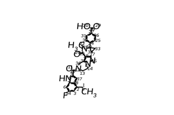 CCc1cc(F)cc2[nH]c(C(=O)N3CCn4ncc(C(=O)N(C)C5(c6ccc(C(=O)O)cc6)CC5)c4C3)cc12